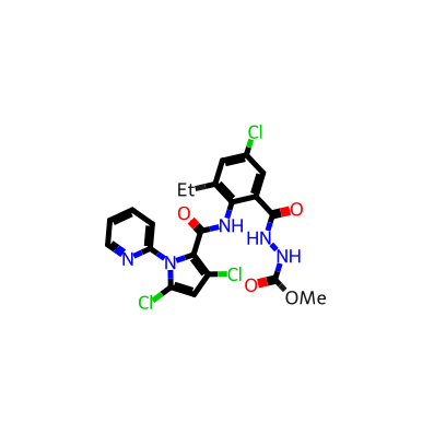 CCc1cc(Cl)cc(C(=O)NNC(=O)OC)c1NC(=O)c1c(Cl)cc(Cl)n1-c1ccccn1